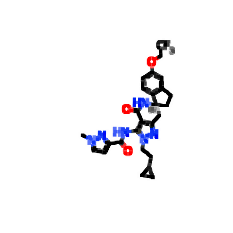 Cn1ccc(C(=O)Nc2c3c(nn2CCC2CC2)C[C@]2(CCc4cc(OCC(F)(F)F)ccc42)NC3=O)n1